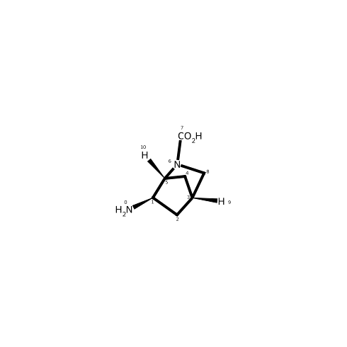 N[C@@H]1C[C@@H]2C[C@H]1N(C(=O)O)C2